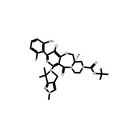 Cn1cc2c(n1)C(C)(C)N(c1nc(-c3c(O)cccc3F)c(Cl)c3c1C(=O)N1CCN(C(=O)OC(C)(C)C)C[C@@H]1CO3)C2